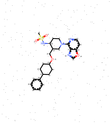 CS(=O)(=O)N[C@H]1CCN(c2nccc3ocnc23)CC1COC1CCC(c2ccccc2)CC1